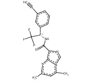 C#Cc1cccc([C@H](NC(=O)c2ncn3c(C)cc(C)nc23)C(F)(F)F)c1